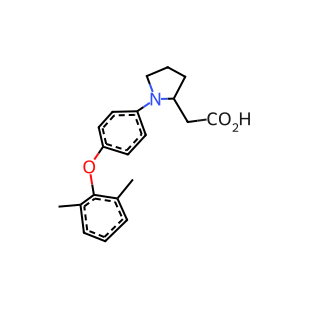 Cc1cccc(C)c1Oc1ccc(N2CCCC2CC(=O)O)cc1